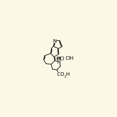 Cl.Cl.O=C(O)C1CNC2=c3cc4c(cc3C=CCC2C1)=NC=C4